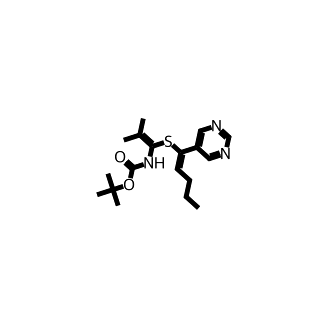 CCC/C=C(/SC(NC(=O)OC(C)(C)C)=C(C)C)c1cncnc1